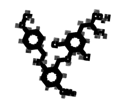 COc1ccc(NCc2ccc(OC(F)(F)F)cc2)c(COc2c(Cl)cc(C[C@H](N)C(=O)O)cc2Cl)c1